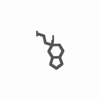 ICCC1(I)CCC2CCCC2C1